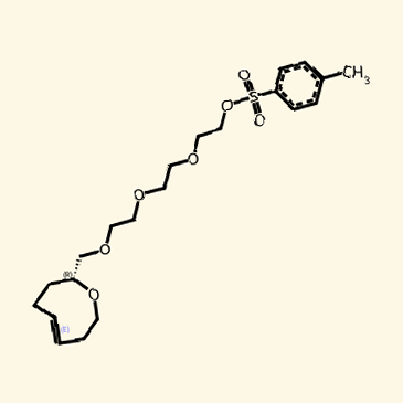 Cc1ccc(S(=O)(=O)OCCOCCOCCOC[C@H]2CC/C=C/CCO2)cc1